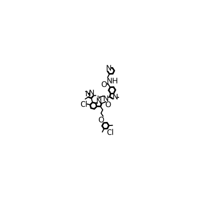 Cc1cc(OCCCc2c3n(c4c(-c5c(C)nn(C)c5C)c(Cl)ccc24)[C@H](C)CN(c2cn(C)c4ccc(C(=O)NCc5cccnc5)cc24)C3=O)cc(C)c1Cl